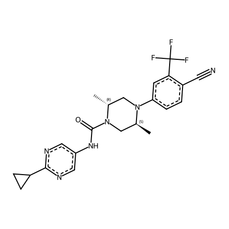 C[C@@H]1CN(c2ccc(C#N)c(C(F)(F)F)c2)[C@@H](C)CN1C(=O)Nc1cnc(C2CC2)nc1